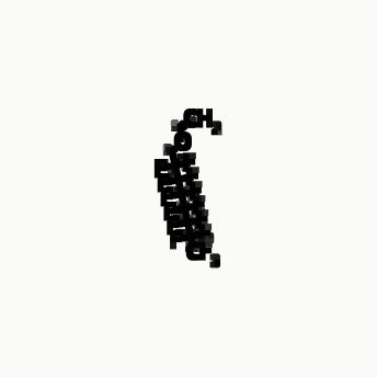 C=COCC(F)(F)C(F)(F)C(F)(F)C(F)(F)C(F)(F)C(F)(F)C(F)(F)F